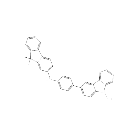 Cn1c2ccccc2c2cc(-c3ccc(Nc4ccc5c(c4)C(C)(C)c4ccccc4-5)cc3)ccc21